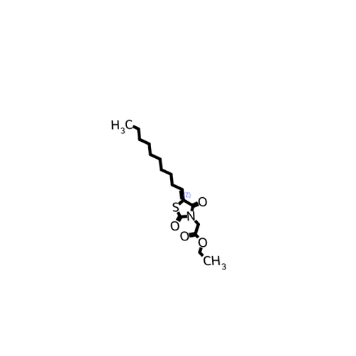 CCCCCCCCC/C=C1\SC(=O)N(CC(=O)OCC)C1=O